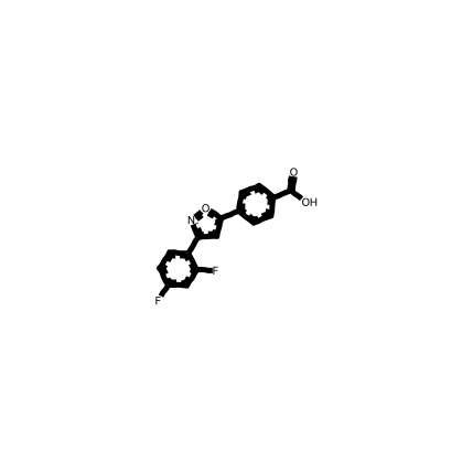 O=C(O)c1ccc(-c2cc(-c3ccc(F)cc3F)no2)cc1